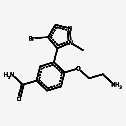 Cn1ncc(Br)c1-c1cc(C(N)=O)ccc1OCCN